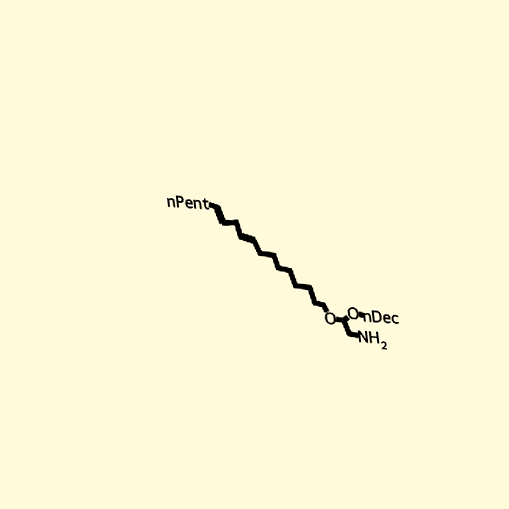 CCCCCC=CCC=CCCCCCCCCOC(CN)OCCCCCCCCCC